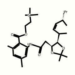 Cc1cc(C)c(C(=O)OCC[Si](C)(C)C)c(NC(=O)C[C@@H]2OC(C)(C)O[C@@H]2C(C)/C=C\[C@@H](C)C(C)C)c1